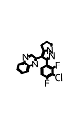 Fc1ccc(-c2nn3c(c2-c2cnc4ccccc4n2)CCC3)c(F)c1Cl